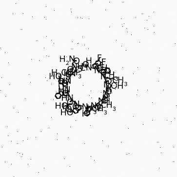 CCCC[C@H]1C(=O)N2C[C@H](O)C[C@@H]2C(=O)N2CCC[C@H]2C(=O)N[C@@H](C(C)C)C(=O)N(C)[C@@H](Cc2ccccc2)C(=O)N[C@@H](Cc2ccc(O)cc2)C(=O)N(C)[C@H](CCC(=O)O)C(=O)N[C@@H](Cc2c[nH]c3ccccc23)C(=O)N[C@@H](Cc2ccc(O)cc2)C(=O)N[C@@H](CC(C)C)C(=O)N[C@H](C(=O)NCC(N)=O)CSCC(=O)N[C@@H](Cc2cc(F)c(F)c(F)c2)C(=O)N(C)[C@@H](Cc2ccccc2)C(=O)N1C